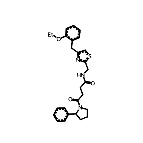 CCOc1ccccc1Cc1csc(CNC(=O)CCC(=O)N2CCCC2c2ccccc2)n1